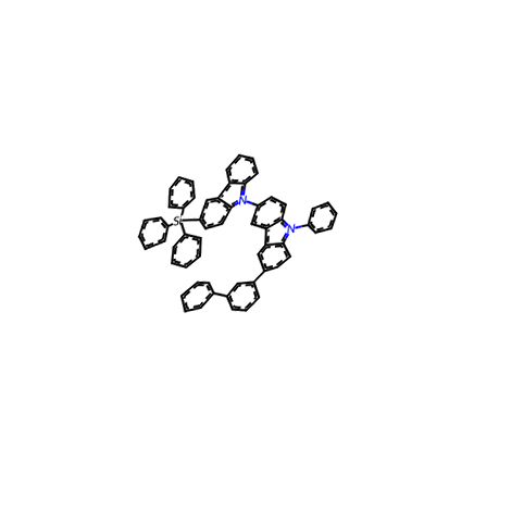 c1ccc(-c2cccc(-c3ccc4c(c3)c3cc(-n5c6ccccc6c6cc([Si](c7ccccc7)(c7ccccc7)c7ccccc7)ccc65)ccc3n4-c3ccccc3)c2)cc1